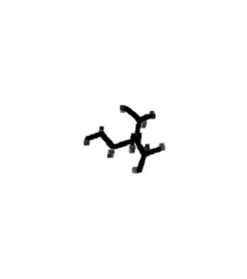 CCCN(C(C)C)C(C)C